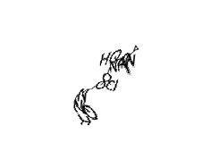 Cn1nc(C2CC2)cc1C(O)NCc1ccc(OCCCN2CCNC(=O)C2)c(Cl)c1